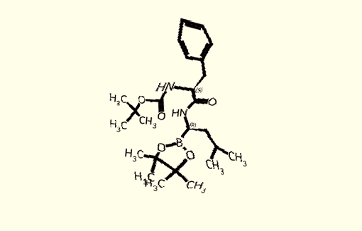 CC(C)C[C@H](NC(=O)[C@H](Cc1ccccc1)NC(=O)OC(C)(C)C)B1OC(C)(C)C(C)(C)O1